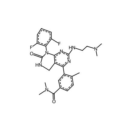 Cc1ccc(C(=O)N(C)C)cc1-c1nc(NCCN(C)C)nc2c1CNC(=O)N2c1c(F)cccc1F